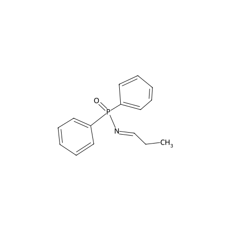 CC/C=N/P(=O)(c1ccccc1)c1ccccc1